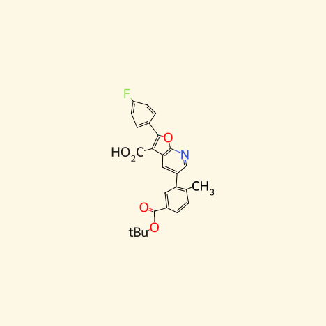 Cc1ccc(C(=O)OC(C)(C)C)cc1-c1cnc2oc(-c3ccc(F)cc3)c(C(=O)O)c2c1